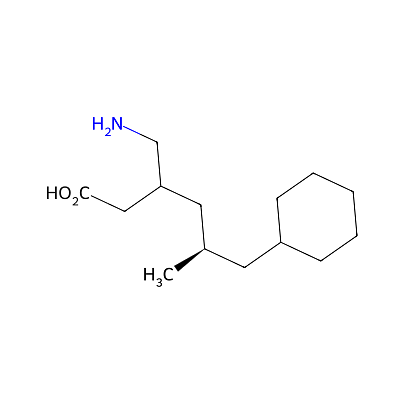 C[C@H](CC1CCCCC1)CC(CN)CC(=O)O